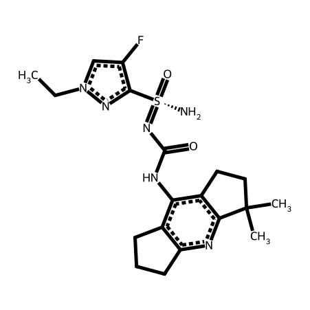 CCn1cc(F)c([S@@](N)(=O)=NC(=O)Nc2c3c(nc4c2CCC4(C)C)CCC3)n1